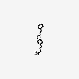 BrCCCc1ccc(OCCCC2CCCCC2)cc1